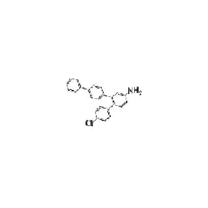 Nc1ccc(-c2ccc(Cl)cc2)c(-c2ccc(-c3ccccc3)cc2)c1